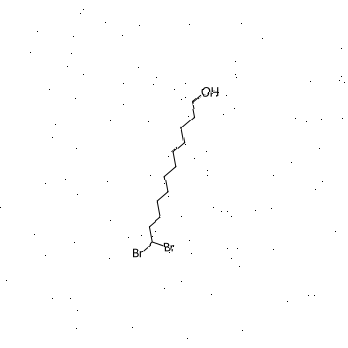 OCCCCCCCCCCCC(Br)Br